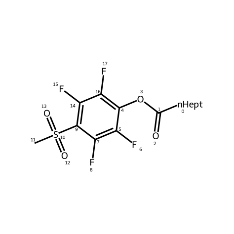 CCCCCCCC(=O)Oc1c(F)c(F)c(S(C)(=O)=O)c(F)c1F